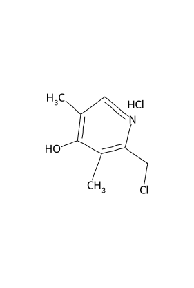 Cc1cnc(CCl)c(C)c1O.Cl